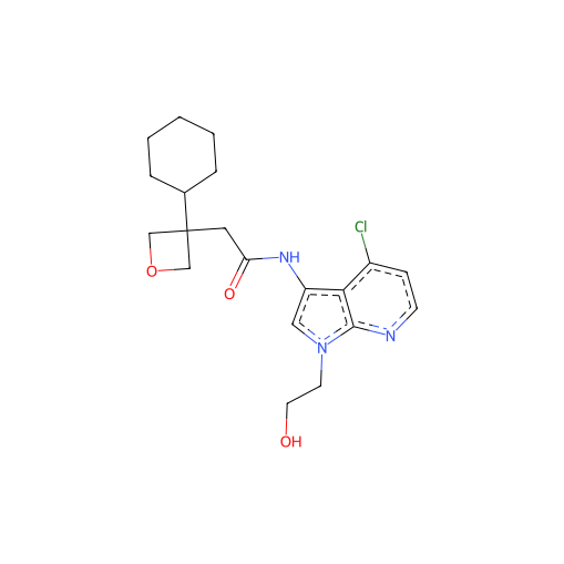 O=C(CC1(C2CCCCC2)COC1)Nc1cn(CCO)c2nccc(Cl)c12